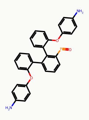 Nc1ccc(Oc2ccccc2-c2cccc(P=O)c2-c2ccccc2Oc2ccc(N)cc2)cc1